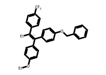 CCOc1ccc(/C(=C(\CC)c2ccc(C(F)(F)F)cc2)c2ccc(OCc3ccccc3)cc2)cc1